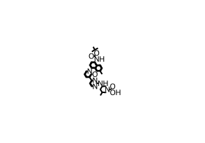 Cc1ccc2c(NC(=O)OC(C)(C)C)cccc2c1Oc1ncccc1-c1ccnc(NC2CC(C)CN(C(=O)O)C2)n1